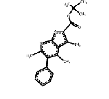 Cc1nc2sc(C(=O)OC(C)(C)C)c(N)c2c(C)c1-c1ccccc1